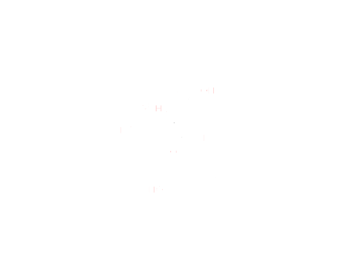 O=C(O)CC(O)(CC(=O)O)C(=O)O.OCCc1ccccc1